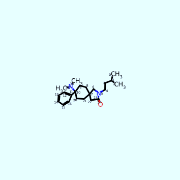 CC(C)CCN1CC2(CCC(c3ccccc3)(N(C)C)CC2)CC1=O